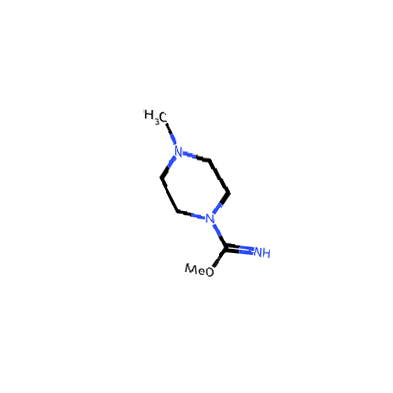 COC(=N)N1CCN(C)CC1